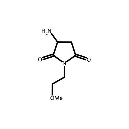 COCCN1C(=O)CC(N)C1=O